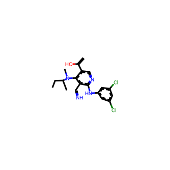 C=C(O)c1cnc(Nc2cc(Cl)cc(Cl)c2)c(C=N)c1N(C)C(C)CC